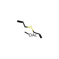 C=CCSCC=C.COC(C)=O